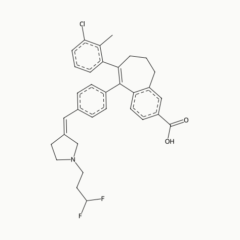 Cc1c(Cl)cccc1C1=C(c2ccc(C=C3CCN(CCC(F)F)C3)cc2)c2ccc(C(=O)O)cc2CCC1